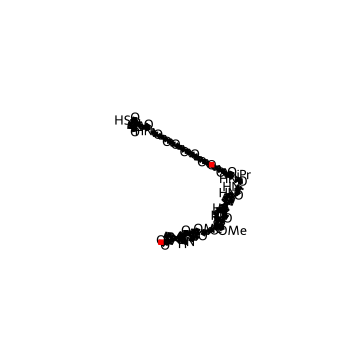 COc1cc2c(cc1OCCCOc1cc3c(cc1OC)C(=O)N1C=C(c4ccc5c(c4)OCO5)C[C@H]1C=N3)N=C[C@@H]1CC(c3ccc(NC(=O)[C@H](C)NC(=O)C(NC(=O)CCOCCOCCOCCOCCOCCOCCOCCOCCNC(=O)CCN4C(=O)CC(S)C4=O)C(C)C)cc3)=CN1C2=O